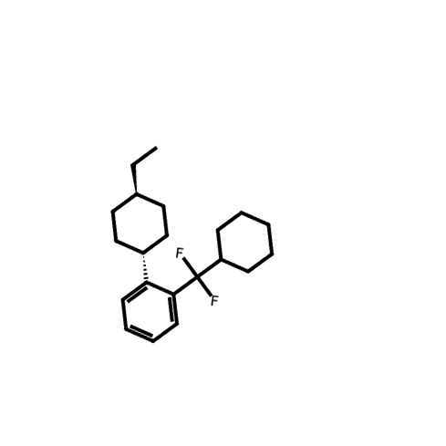 CC[C@H]1CC[C@H](c2ccccc2C(F)(F)C2CCCCC2)CC1